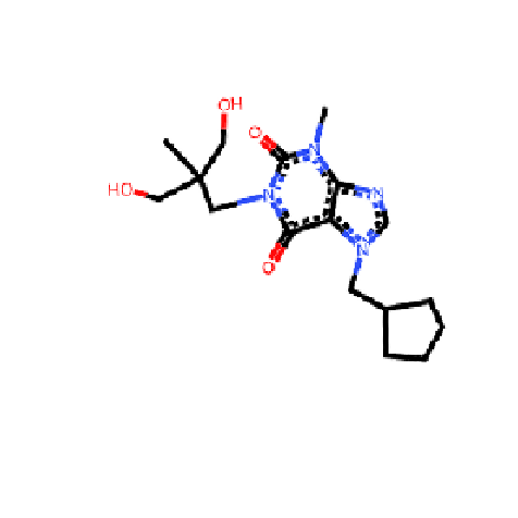 Cn1c(=O)n(CC(C)(CO)CO)c(=O)c2c1ncn2CC1CCCC1